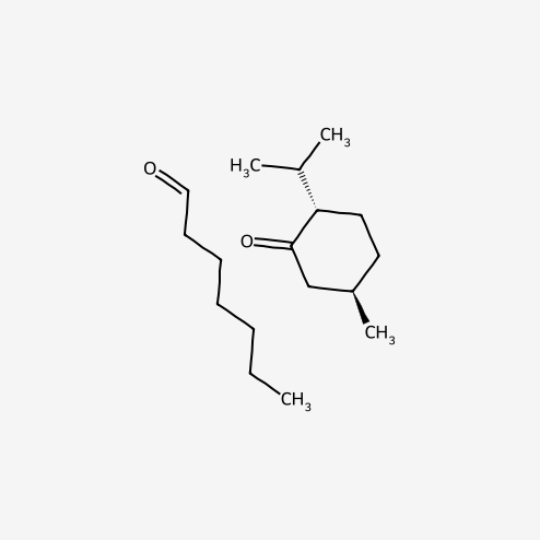 CC(C)[C@@H]1CC[C@@H](C)CC1=O.CCCCCCC=O